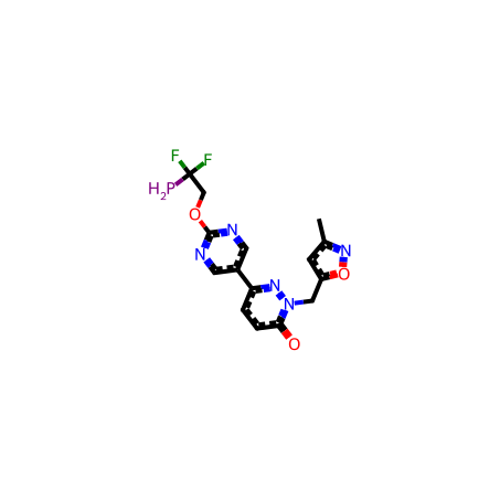 Cc1cc(Cn2nc(-c3cnc(OCC(F)(F)P)nc3)ccc2=O)on1